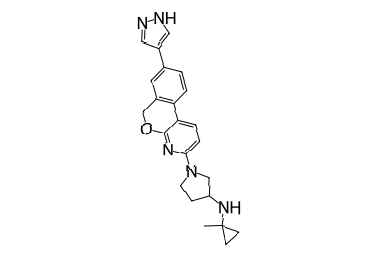 CC1(NC2CCN(c3ccc4c(n3)OCc3cc(-c5cn[nH]c5)ccc3-4)C2)CC1